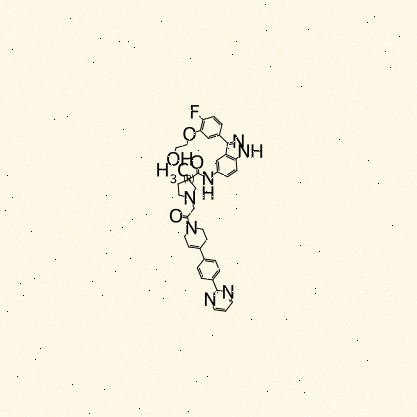 C[C@@]1(C(=O)Nc2ccc3[nH]nc(-c4ccc(F)c(OCCO)c4)c3c2)CCN(CC(=O)N2CC=C(c3ccc(-c4ncccn4)cc3)CC2)C1